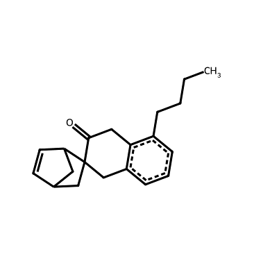 CCCCc1cccc2c1CC(=O)C1(C2)CC2C=CC1C2